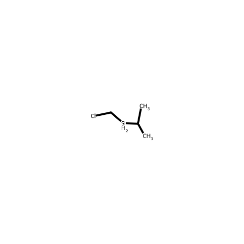 CC(C)[SiH2]CCl